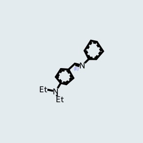 CCN(CC)c1ccc(/C=N/c2ccccc2)cc1